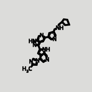 Cc1cn(-c2cncc3[nH]c(-c4n[nH]c5cnc(-c6cncc(CNCC7CCCC7)c6)cc45)cc23)cn1